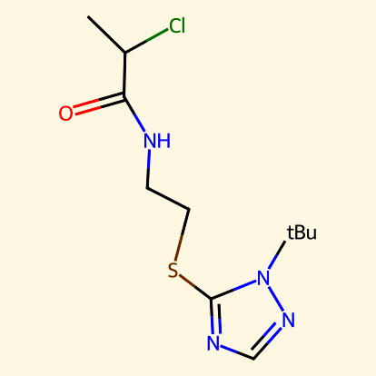 CC(Cl)C(=O)NCCSc1ncnn1C(C)(C)C